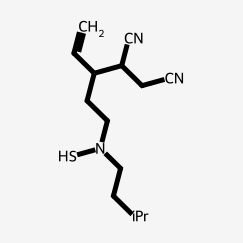 C=CC(CCN(S)CCC(C)C)C(C#N)CC#N